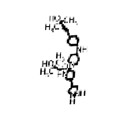 CC(C)(O)C#Cc1ccc(NC2CCN(C3(OCC(C)(C)O)C=CC(C4=CNNC4)=CN3)CC2)cc1